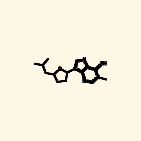 CC(C)CC1CCC(n2cnc3c(=N)n(C)cnc32)O1